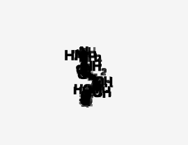 N=C(N)NCCC[C@H](N)C(=O)OC(=O)CCC/C=C\C[C@@H]1[C@@H](/C=C/[C@@H](O)COc2ccccc2)[C@H](O)C[C@@H]1O